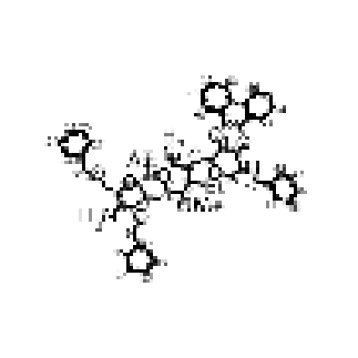 CCC1C(OC)[C@H](CC2C(OCc3ccccc3)C(N)[C@@H](COCc3ccccc3)O[C@H]2SC(C)=O)O[C@H](C)C1O[C@@H]1OC[C@@H](OCc2ccccc2)C(OCc2ccccc2)C1OCc1ccccc1